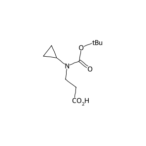 CC(C)(C)OC(=O)N(CCC(=O)O)C1CC1